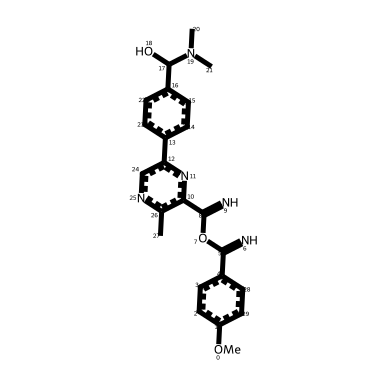 COc1ccc(C(=N)OC(=N)c2nc(-c3ccc(C(O)N(C)C)cc3)cnc2C)cc1